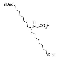 CCCCCCCCCCCCCCCCCCN(CCCCCCCCCCCCCCCCCC)NCC(=O)O